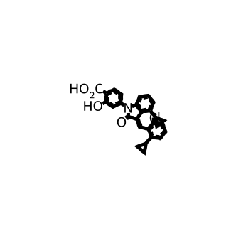 O=C(O)c1ccc(N2C(=O)/C(=C/c3c(Cl)cccc3C3CC3)c3c(C4CC4)cccc32)cc1O